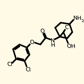 NC12CCC(NC(=O)COc3ccc(Cl)c(Cl)c3)(CC1)C(O)C2